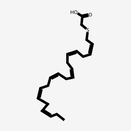 CC/C=C\C/C=C\C/C=C\C/C=C\C/C=C\C/C=C\CSCC(=O)O